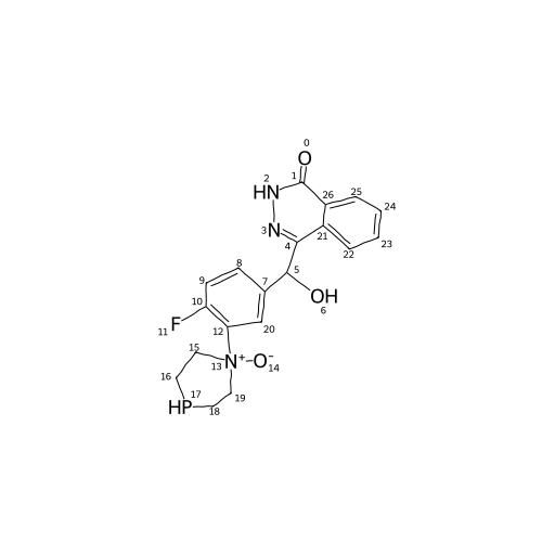 O=c1[nH]nc(C(O)c2ccc(F)c([N+]3([O-])CCPCC3)c2)c2ccccc12